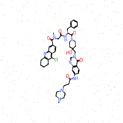 CN1CCN(CCC(=O)Nc2ccc3c(=O)n(CC4(O)CCN(C(=O)[C@H](Cc5ccccc5)NC(=O)CN(C)C(=O)c5ccc6c(Cl)c7c(nc6c5)CCCC7)CC4)cnc3c2)CC1